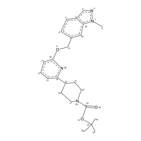 Cn1ncc2ccc(COc3cccc(C4CCN(C(=O)OC(C)(C)C)CC4)n3)cc21